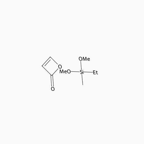 CC[Si](C)(OC)OC.O=C1C=CO1